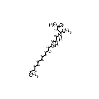 CCCCCCCCCCCCNCCCNC(C)CC(=O)O